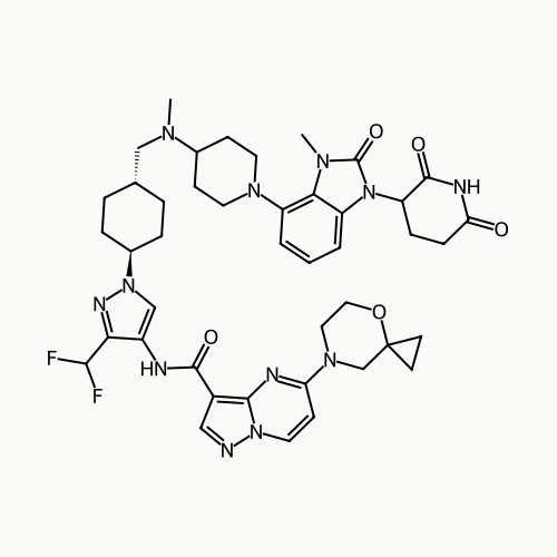 CN(C[C@H]1CC[C@H](n2cc(NC(=O)c3cnn4ccc(N5CCOC6(CC6)C5)nc34)c(C(F)F)n2)CC1)C1CCN(c2cccc3c2n(C)c(=O)n3C2CCC(=O)NC2=O)CC1